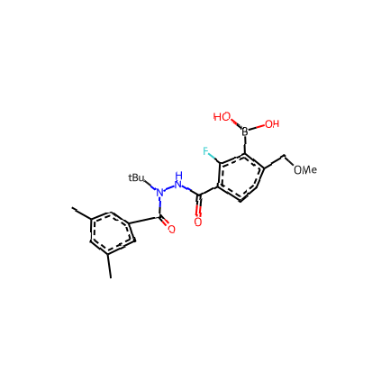 COCc1ccc(C(=O)NN(C(=O)c2cc(C)cc(C)c2)C(C)(C)C)c(F)c1B(O)O